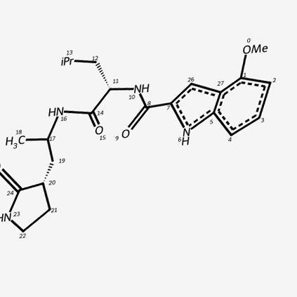 COc1cccc2[nH]c(C(=O)N[C@@H](CC(C)C)C(=O)NC(C)C[C@@H]3CCNC3=O)cc12